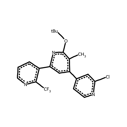 Cc1c(-c2ccnc(Cl)c2)cc(-c2cccnc2C(F)(F)F)nc1OC(C)(C)C